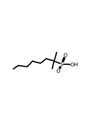 CCCCCCC(C)(C)S(=O)(=O)O